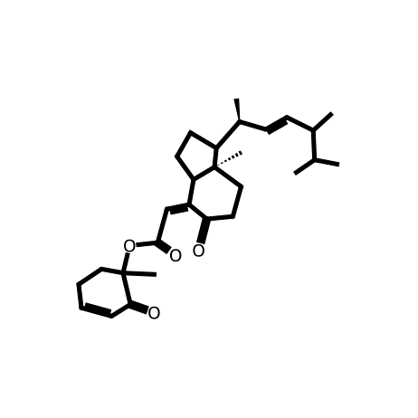 CC(C)C(C)/C=C/[C@H](C)C1CCC2/C(=C/C(=O)OC3(C)CCC=CC3=O)C(=O)CC[C@@]21C